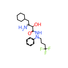 N[C@H](CC1CCCCC1)C(O)C(=O)NN(CCCC(F)(F)F)c1ccccc1